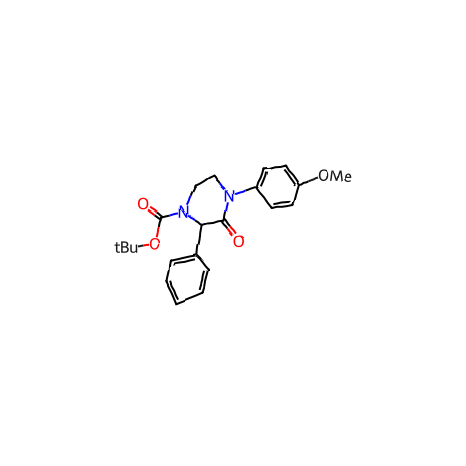 COc1ccc(N2CCN(C(=O)OC(C)(C)C)C(c3ccccc3)C2=O)cc1